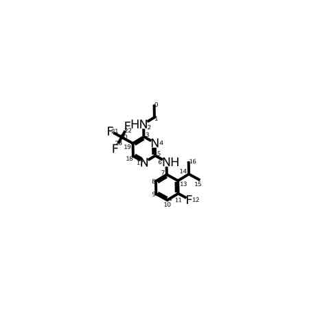 CCNc1nc(Nc2cc[c]c(F)c2C(C)C)ncc1C(F)(F)F